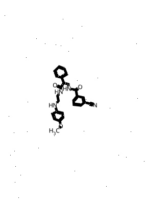 COc1ccc(NCCNC(=O)C(CNC(=O)c2cccc(C#N)c2)c2ccccc2)cc1